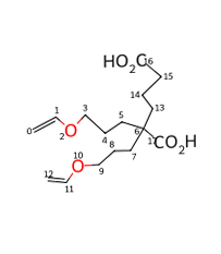 C=COCCCC(CCCOC=C)(CCCC(=O)O)C(=O)O